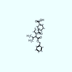 CC(C)C(C(=O)OCc1ccccc1)N1CC[C@]2(CCCN(C(=O)O)C2)C1=O